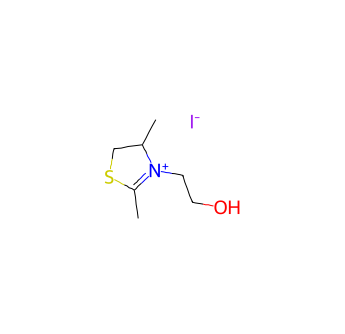 CC1=[N+](CCO)C(C)CS1.[I-]